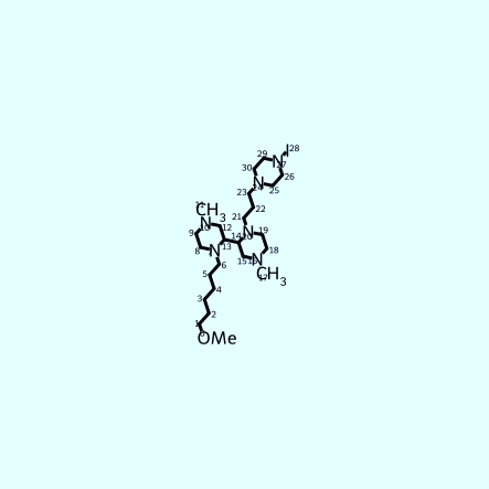 COCCCCCCN1CCN(C)CC1C1CN(C)CCN1CCCN1CCN(I)CC1